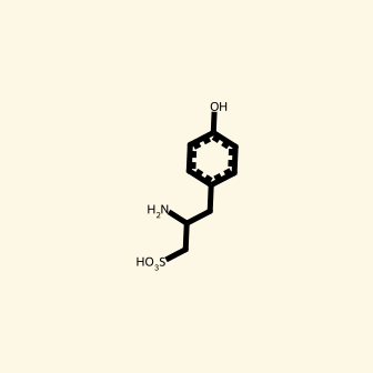 NC(Cc1ccc(O)cc1)CS(=O)(=O)O